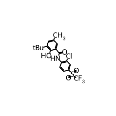 Cc1cc(C(=O)Nc2ccc(S(=O)(=O)C(F)(F)F)cc2Cl)c(O)c(C(C)(C)C)c1